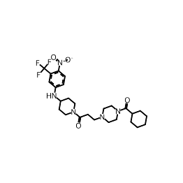 O=C(CCN1CCN(C(=O)C2CCCCC2)CC1)N1CCC(Nc2ccc([N+](=O)[O-])c(C(F)(F)F)c2)CC1